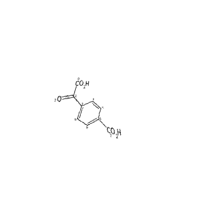 O=C(O)C(=O)c1ccc(C(=O)O)cc1